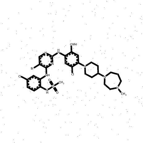 COc1cc(N2CCC(N3CCCN(C)CC3)CC2)c(Cl)cc1Nc1ncc(Br)c(Nc2cc(Cl)ccc2NS(C)(=O)=O)n1